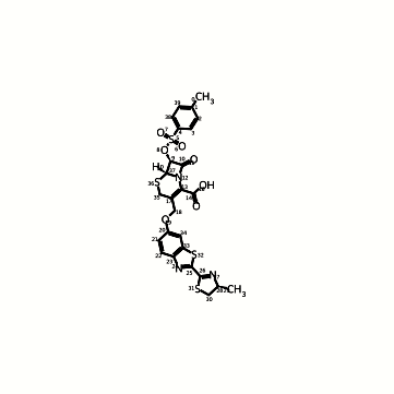 Cc1ccc(S(=O)(=O)O[C@H]2C(=O)N3C(C(=O)O)=C(COc4ccc5nc(C6=N[C@@H](C)CS6)sc5c4)CS[C@H]23)cc1